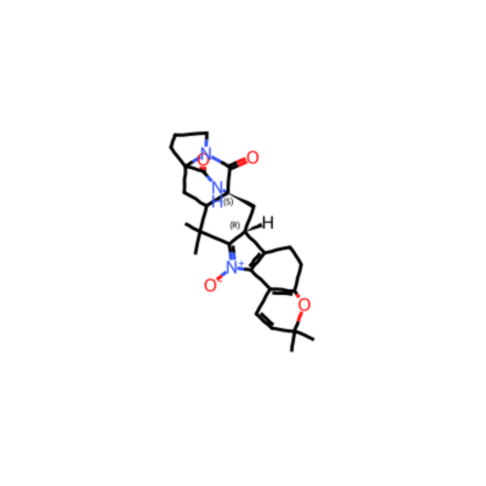 CC1(C)C=CC2=C(CCC3=C2[N+]([O-])=C2[C@@H]3C[C@@]34NC(=O)C5(CCCN5C3=O)CC4C2(C)C)O1